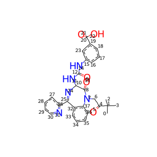 CC(C)(C)C(=O)CN1C(=O)C(NC(=O)Nc2cccc(C(=O)O)c2)N=C(c2ccccn2)c2ccccc21